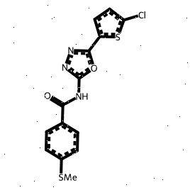 CSc1ccc(C(=O)Nc2nnc(-c3ccc(Cl)s3)o2)cc1